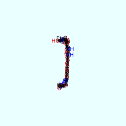 CCc1c2c(nc3ccc(O)cc13)-c1cc3c(c(=O)n1C2)COC(=O)[C@@]3(CC)OC(=O)OCc1ccc(NC(=O)COCC(=O)NCCOCCOCCOCCOCCOCCOCCOCCOCCn2cc(CNC(=O)C3CCC(CN4C(=O)CC(C)C4=O)CC3)nn2)cc1